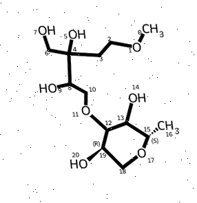 COCCC(O)(CO)C(O)COC1C(O)[C@H](C)OC[C@H]1O